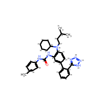 Cc1ccc(NC(=O)Nc2cc(-c3ccccc3-c3nnn[nH]3)ccc2N(CCC(C)C(F)(F)F)C2CCCCC2)cc1